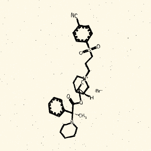 C[C@@](C(=O)O[C@H]1C[N+]2(CCCS(=O)(=O)c3ccc(C#N)cc3)CCC1CC2)(c1ccccc1)N1CCCCC1.[Br-]